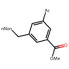 CCCCCCCCCCc1cc(C(C)=O)cc(C(=O)OC)c1